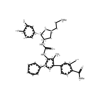 CNC(=O)c1ncc(-c2nn(-c3ccccc3)c(NC(=O)N[C@@H]3CN(CCOC)O[C@H]3c3cnc(F)c(F)c3)c2C)cc1F